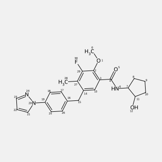 COc1c(C(=O)NC2CCCC2O)cc(Cc2ccc(-n3cccn3)cc2)c(C)c1F